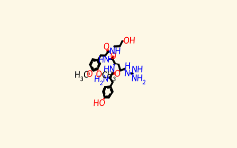 COc1ccc(CC(NC(=O)[C@@H](CCCNC(=N)N)NC(=O)C(N)Cc2ccc(O)cc2)C(=O)NCCCO)cc1OC